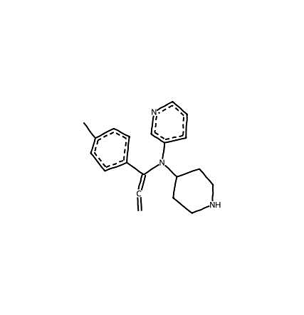 C=C=C(c1ccc(C)cc1)N(c1cccnc1)C1CCNCC1